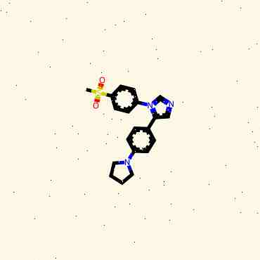 CS(=O)(=O)c1ccc(-n2cncc2-c2ccc(N3CCCC3)cc2)cc1